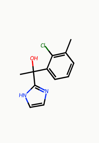 Cc1cccc(C(C)(O)c2ncc[nH]2)c1Cl